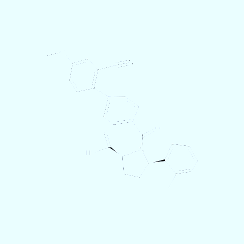 COc1ccc(-c2ccc(C(=O)N3[C@@H](c4ccccc4F)CC[C@H]3C(=O)O)cc2)c(C#N)c1